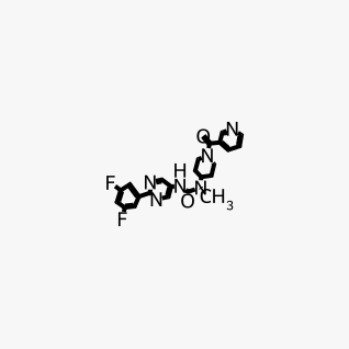 CN(C(=O)Nc1cnc(-c2cc(F)cc(F)c2)nc1)C1CCN(C(=O)c2cccnc2)CC1